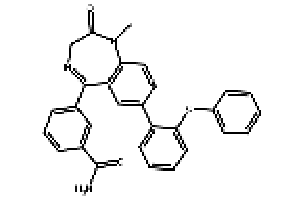 CN1C(=O)CN=C(c2cccc(C(N)=O)c2)c2cc(-c3ccccc3Oc3ccccc3)ccc21